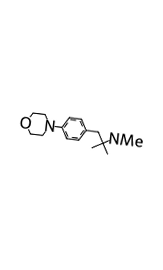 CNC(C)(C)Cc1ccc(N2CCOCC2)cc1